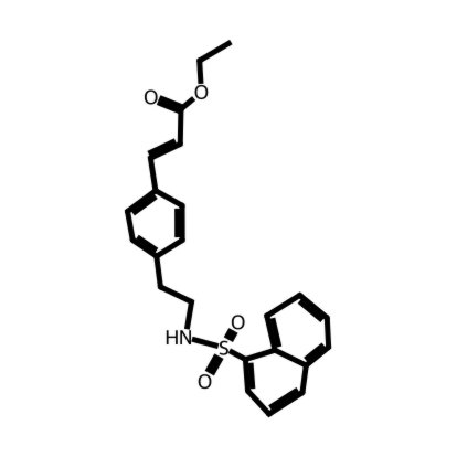 CCOC(=O)C=Cc1ccc(CCNS(=O)(=O)c2cccc3ccccc23)cc1